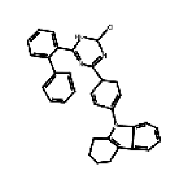 ClC1N=C(C2C=CC(n3c4c(c5ccccc53)CCCC4)=CC2)N=C(c2ccccc2-c2ccccc2)N1